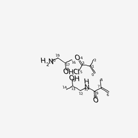 C=C(C)C(=O)Cl.C=C(C)C(=O)NCC(C)O.CC(O)CN